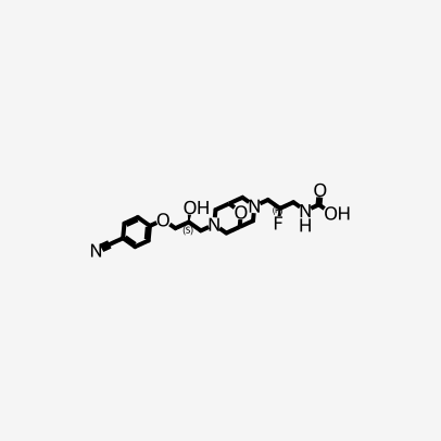 N#Cc1ccc(OC[C@@H](O)CN2CC3CN(C[C@H](F)CNC(=O)O)CC(C2)O3)cc1